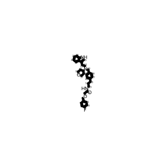 O=C(COCc1ccc(F)cc1)NCCCc1ccc(CN(CCc2c[nH]c3ccccc23)C2CCOCC2)cc1